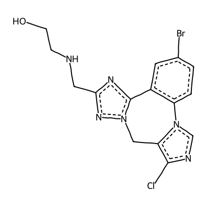 OCCNCc1nc2n(n1)Cc1c(Cl)ncn1-c1ccc(Br)cc1-2